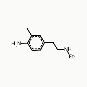 C[CH]NCCc1ccc(N)c(C)c1